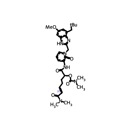 COc1cc(CC(C)(C)C)c2nc(Cn3cccc(NC(=O)C(CC/C=C/C(=O)N(C)C)OC(=O)N(C)C)c3=O)[nH]c2c1